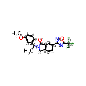 COc1cccc(C(C)N2Cc3ccc(-c4noc(C(F)(F)F)n4)cc3C2=O)c1